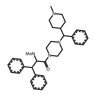 CNC(C(=O)N1CCN(C(c2ccccc2)C2CCN(C)CC2)CC1)C(c1ccccc1)c1ccccc1